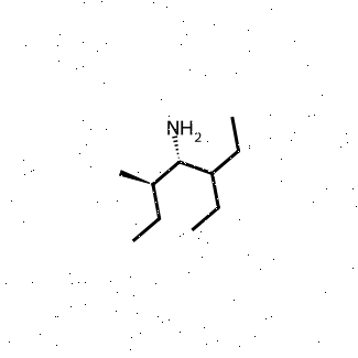 CCC(CC)[C@@H](N)[C@H](C)CC